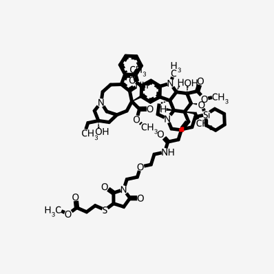 CC[C@]1(O)CC2CN(CCc3c([nH]c4ccccc34)[C@@](C(=O)OC)(c3cc4c(cc3OC)N(C)[C@H]3[C@@](O)(C(=O)OC)[C@H](O[Si]5(CCCCC(=O)NCCOCCN6C(=O)CC(SCCC(=O)OC)C6=O)CCCCC5)[C@]5(CC)C=CCN6CC[C@]43[C@@H]65)C2)C1